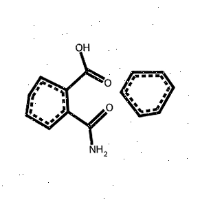 NC(=O)c1ccccc1C(=O)O.c1ccccc1